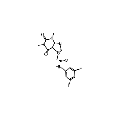 CN1C(=O)C2C(N=CN2CC(=O)Nc2cc(F)cc(F)c2)N(C)C1=O